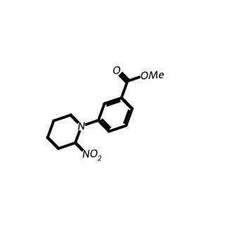 COC(=O)c1cccc(N2CCCCC2[N+](=O)[O-])c1